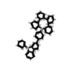 c1ccc(-n2c3ccccc3c3ccc(-c4ccc(-n5c6ccccc6c6ccccc6c6ccccc6c6ccccc65)cc4)cc32)cc1